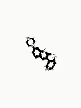 O=c1oc2cc(N3CCNCC3)ccc2cc1-c1cnccc1Cl